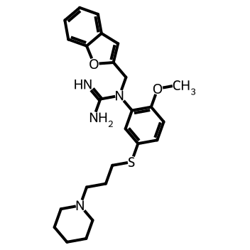 COc1ccc(SCCCN2CCCCC2)cc1N(Cc1cc2ccccc2o1)C(=N)N